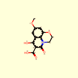 COc1cc2c3c(c1)c(O)c(C(=O)O)c(=O)n3CCO2